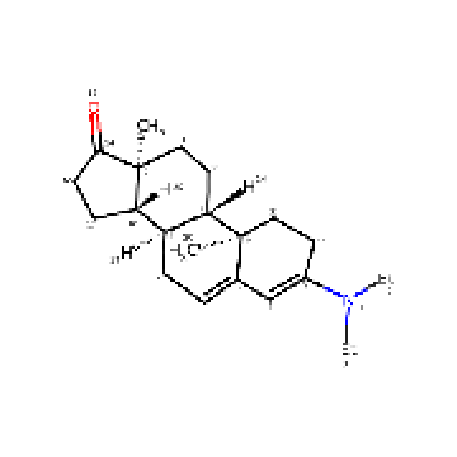 CCN(CC)C1=CC2=CC[C@@H]3[C@H](CC[C@]4(C)C(=O)CC[C@@H]34)[C@@]2(C)CC1